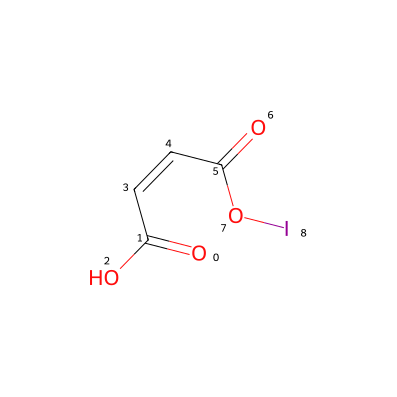 O=C(O)/C=C\C(=O)OI